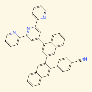 N#Cc1ccc(-c2cc3ccccc3cc2-c2cc(-c3cc(-c4ccccn4)nc(-c4ccccn4)c3)c3ccccc3c2)cc1